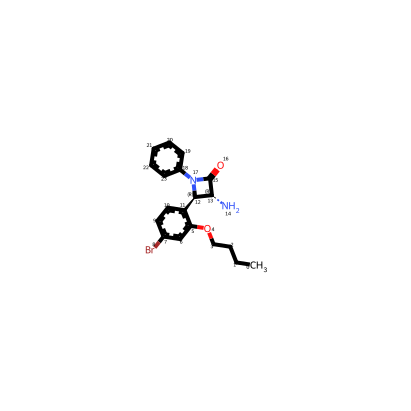 CCCCOc1cc(Br)ccc1[C@@H]1[C@@H](N)C(=O)N1c1ccccc1